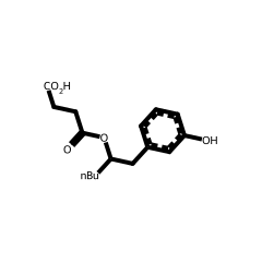 CCCCC(Cc1cccc(O)c1)OC(=O)CCC(=O)O